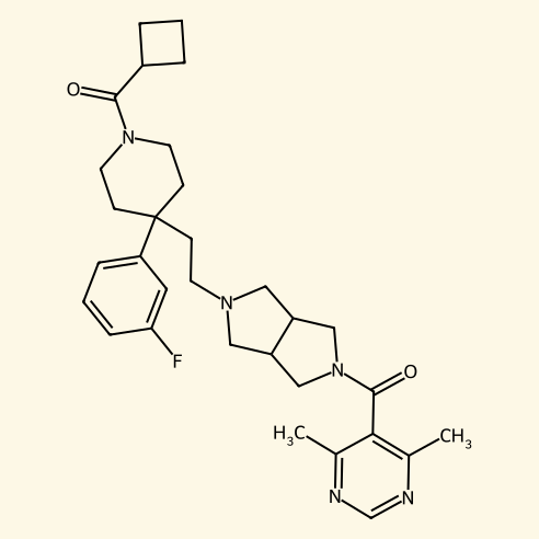 Cc1ncnc(C)c1C(=O)N1CC2CN(CCC3(c4cccc(F)c4)CCN(C(=O)C4CCC4)CC3)CC2C1